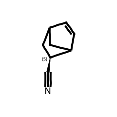 N#C[C@H]1CC2C=CC1C2